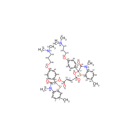 Cc1ccc2c(c1)SC(OC(=O)/C=C/C(=O)OC1(c3ccc(OCCCN(C)C)cc3)Sc3cc(C)ccc3N(C)C1=O)(c1ccc(OCCCN(C)C)cc1)C(=O)N2C